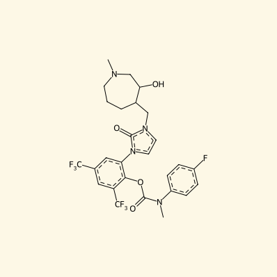 CN1CCCC(Cn2ccn(-c3cc(C(F)(F)F)cc(C(F)(F)F)c3OC(=O)N(C)c3ccc(F)cc3)c2=O)C(O)C1